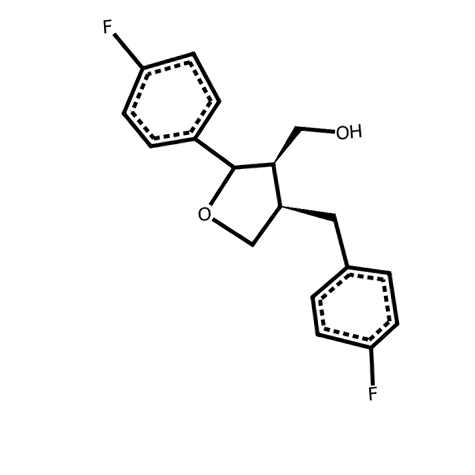 OC[C@@H]1C(c2ccc(F)cc2)OC[C@@H]1Cc1ccc(F)cc1